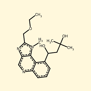 CCOCc1nc2cnc3cccc(C(O)CC(C)(C)O)c3c2n1C